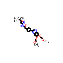 COCCOc1cc2ncc(-c3ccc(CC(=O)Nc4cc(C(C)(C)C)on4)cc3)nc2cc1OCCOC